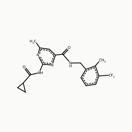 Cc1cc(C(=O)NCc2cccc(C(F)(F)F)c2C)nc(NC(=O)C2CC2)n1